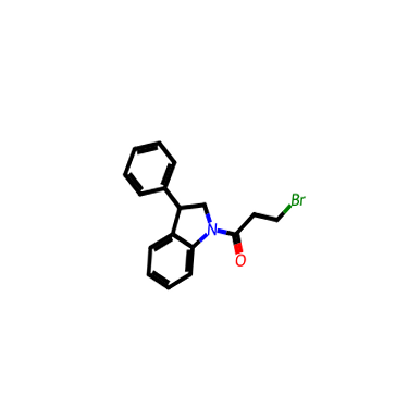 O=C(CCBr)N1CC(c2ccccc2)c2ccccc21